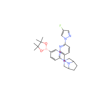 CC1(C)OB(c2ccc(N3CC4CCC(C3)N4Cc3ccc(-n4cc(F)cn4)nc3)nc2)OC1(C)C